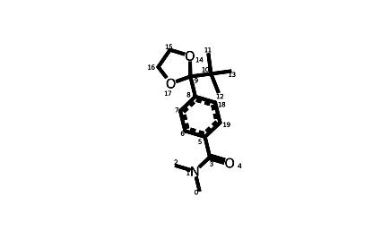 CN(C)C(=O)c1ccc(C2(C(C)(C)C)OCCO2)cc1